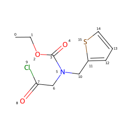 CCOC(=O)N(CC(=O)Cl)Cc1cccs1